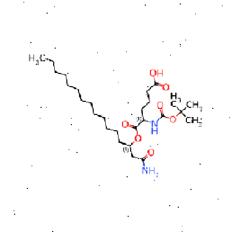 CCCCCCCCCCCCC[C@H](CC(N)=O)OC(=O)[C@@H](CCCC(=O)O)NC(=O)OC(C)(C)C